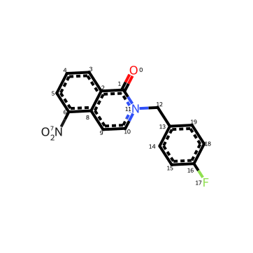 O=c1c2cccc([N+](=O)[O-])c2ccn1Cc1ccc(F)cc1